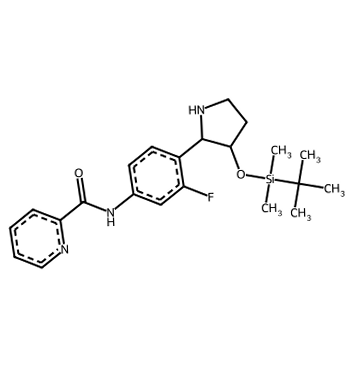 CC(C)(C)[Si](C)(C)OC1CCNC1c1ccc(NC(=O)c2ccccn2)cc1F